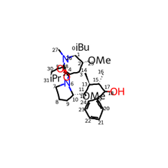 CC[C@H](C)[C@@H]([C@@H](CC(=O)N1CCC[C@H]1C(OC)[C@@H](C)[C@H](C)C(O)c1ccccc1)OC)N(C)C(=O)CC(C)C